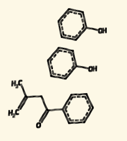 C=C(C)CC(=O)c1ccccc1.Oc1ccccc1.Oc1ccccc1